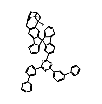 C1=CC2C3[C@@H]4c5cc6c(cc5C1C=CC234)-c1ccccc1C61c2ccccc2-c2ccc(-c3nc(-c4cccc(-c5ccccc5)c4)nc(-c4cccc(-c5ccccc5)c4)n3)cc21